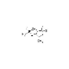 CC1CS(=O)(=O)CC1OP(C)(C)=O